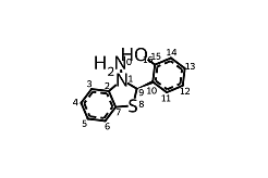 NN1c2ccccc2S[C@@H]1c1ccccc1O